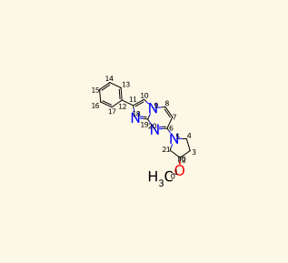 CO[C@@H]1CCN(c2ccn3cc(-c4ccccc4)nc3n2)C1